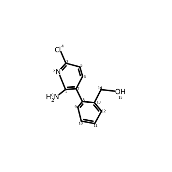 Nc1nc(Cl)ccc1-c1ccccc1CO